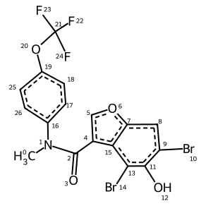 CN(C(=O)c1coc2cc(Br)c(O)c(Br)c12)c1ccc(OC(F)(F)F)cc1